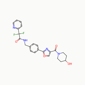 O=C(c1coc(-c2ccc(CNC(=O)C(F)(F)c3ccccn3)cc2)n1)N1CCC(O)CC1